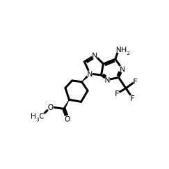 COC(=O)[C@H]1CC[C@@H](n2cnc3c(N)nc(C(F)(F)F)nc32)CC1